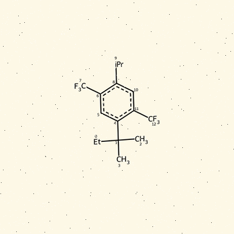 CCC(C)(C)c1cc(C(F)(F)F)c(C(C)C)cc1C(F)(F)F